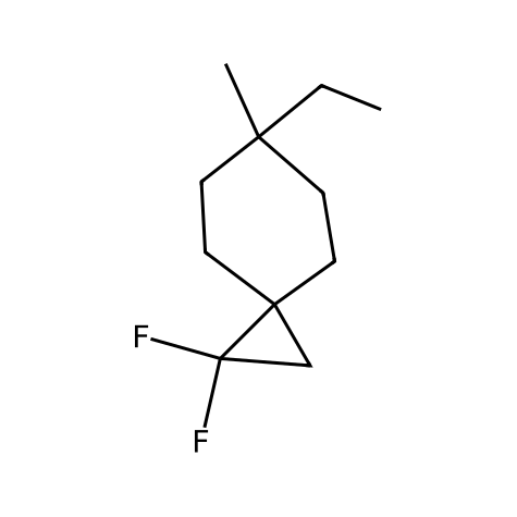 CCC1(C)CCC2(CC1)CC2(F)F